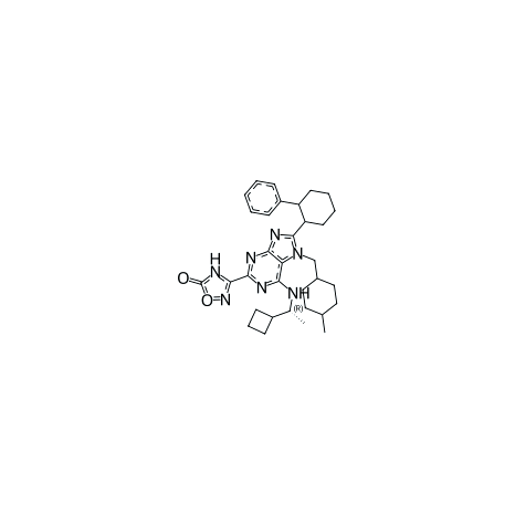 CC1CCC(Cn2c(C3CCCCC3c3ccccc3)nc3nc(-c4noc(=O)[nH]4)nc(N[C@H](C)C4CCC4)c32)CC1